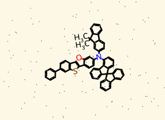 CC1(C)c2ccccc2-c2ccc(N(c3ccc4c(c3)oc3c5ccc(-c6ccccc6)cc5sc43)c3cccc4c3-c3ccccc3C43c4ccccc4-c4ccccc43)cc21